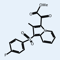 COC(=O)C(=O)c1c(C)c(S(=O)(=O)c2ccc(F)cc2)c2ccccn12